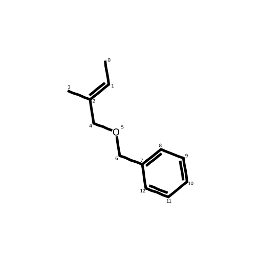 CC=C(C)COCc1ccccc1